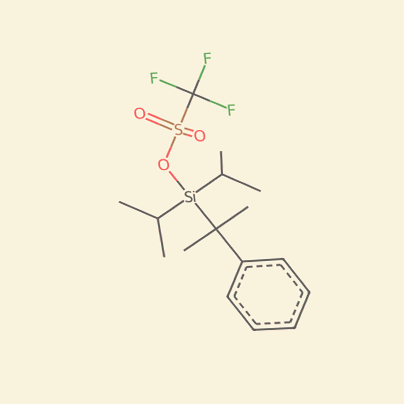 CC(C)[Si](OS(=O)(=O)C(F)(F)F)(C(C)C)C(C)(C)c1ccccc1